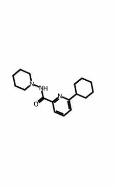 O=C(NN1CCCCC1)c1cccc(C2CCCCC2)n1